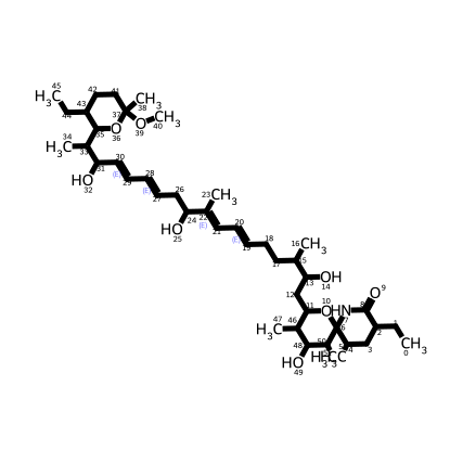 CCC1CC(C)C2(NC1=O)OC(CC(O)C(C)CC/C=C/C=C(\C)C(O)C/C=C/C=C/C(O)C(C)C1OC(C)(OC)CCC1CC)C(C)C(O)C2C